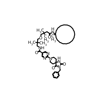 CC(C)(CNC(=O)c1cnc(N2CCC3(CC2)NC(=O)N(Cc2ccccc2)C3=O)nc1)COCC(C)(C)CC(=O)NC1(C)CCCCCCCCCCCCCCCCC1